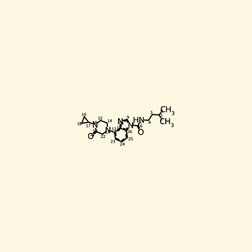 CC(C)CCNC(=O)n1cnc2c(N3CCN(C4CC4)C(=O)C3)cccc21